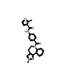 Cc1occc1C(=O)Nc1ccc(C(=O)N2CCc3cn(C)nc3-c3ccccc32)cc1